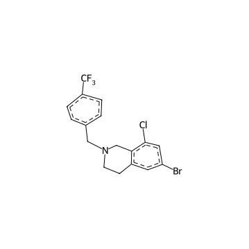 FC(F)(F)c1ccc(CN2CCc3cc(Br)cc(Cl)c3C2)cc1